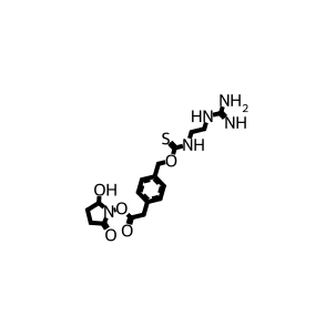 N=C(N)NCCNC(=S)OCc1ccc(CC(=O)ON2C(=O)CCC2O)cc1